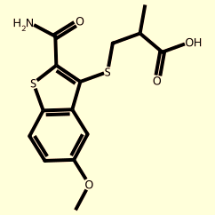 COc1ccc2sc(C(N)=O)c(SCC(C)C(=O)O)c2c1